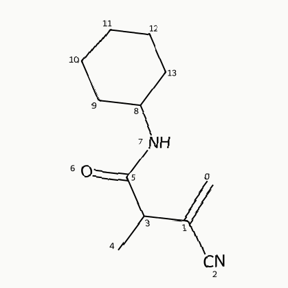 C=C(C#N)C(C)C(=O)NC1CCCCC1